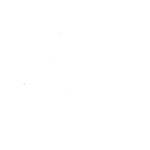 CC1(C)c2c(Br)ccc(C(=O)Nc3ccc(OC(F)(F)Cl)cc3)c2C(=O)N1CCO